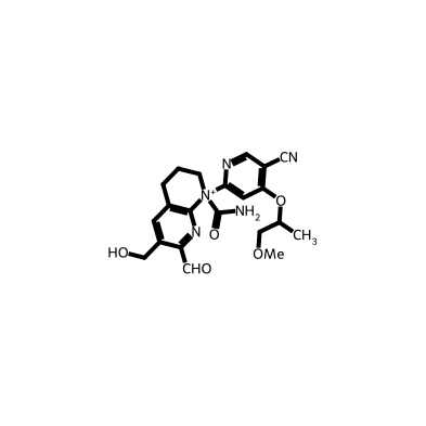 COCC(C)Oc1cc([N+]2(C(N)=O)CCCc3cc(CO)c(C=O)nc32)ncc1C#N